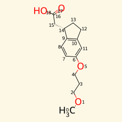 COCCCOc1ccc2c(c1)CC[C@H]2CC(=O)O